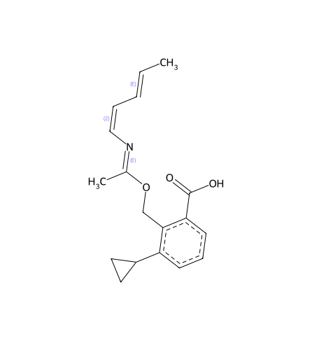 C/C=C/C=C\N=C(/C)OCc1c(C(=O)O)cccc1C1CC1